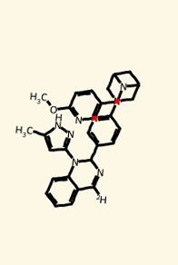 [2H]C1=NC(c2ccc(N3CC4CC(C3)N4Cc3ccc(OC)nc3)nc2)N(c2cc(C)[nH]n2)c2ccccc21